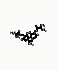 CC(N)C(=O)OCN1C(=O)CN(CC(C)N2CC(=O)N(COC(=O)C(C)N)C(=O)C2)CC1=O